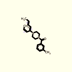 C\C=C/C(=C\C=C\C)N1CCN(C(=O)c2cccc(C)c2)CC1